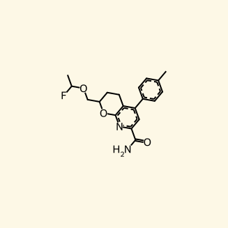 Cc1ccc(-c2cc(C(N)=O)nc3c2CCC(COC(C)F)O3)cc1